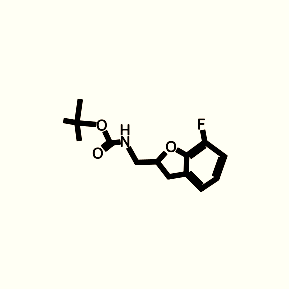 CC(C)(C)OC(=O)NCC1Cc2cccc(F)c2O1